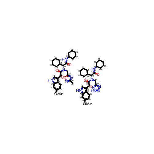 COc1ccc2c(C(=O)C(=O)N(Cc3nc(C)no3)[C@@H](C(=O)NC3CCCCC3)C3CCCCC3)c[nH]c2c1.COc1ccc2c(C(=O)C(=O)N(Cc3nn[nH]n3)[C@@H](C(=O)NC3CCCCC3)C3CCCCC3)c[nH]c2c1